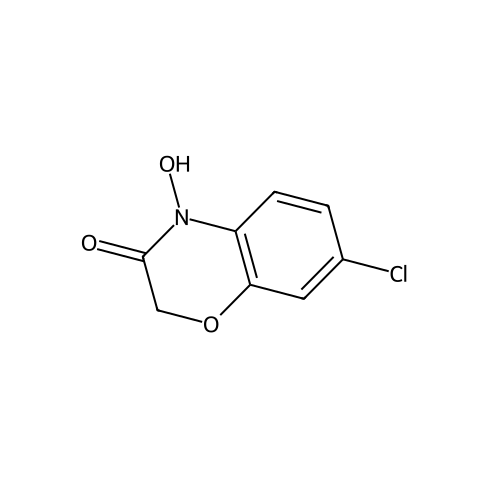 O=C1COc2cc(Cl)ccc2N1O